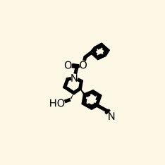 N#Cc1ccc([C@@H]2CN(C(=O)OCc3ccccc3)CC[C@H]2CO)cc1